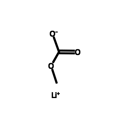 COC(=O)[O-].[Li+]